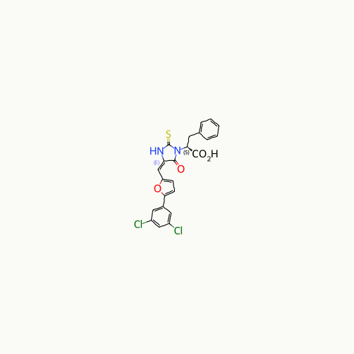 O=C(O)[C@H](Cc1ccccc1)N1C(=O)/C(=C\c2ccc(-c3cc(Cl)cc(Cl)c3)o2)NC1=S